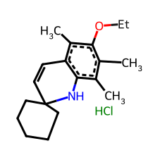 CCOc1c(C)c(C)c2c(c1C)C=CC1(CCCCC1)N2.Cl